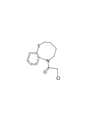 O=C(CCl)N1CCCCSc2ccccc21